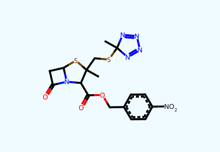 CC1(SCC2(C)SC3CC(=O)N3C2C(=O)OCc2ccc([N+](=O)[O-])cc2)N=NN=N1